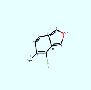 Fc1c(C(F)(F)F)ccc2[c]occ12